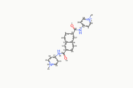 C[n+]1ccc(NC(=O)c2ccc3cc(C(=O)Nc4cc[n+](C)cc4)ccc3c2)cc1